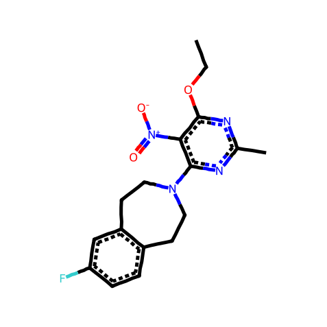 CCOc1nc(C)nc(N2CCc3ccc(F)cc3CC2)c1[N+](=O)[O-]